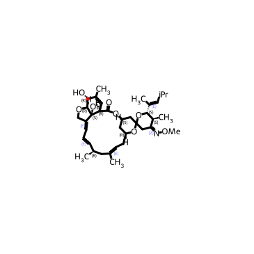 CO/N=C1/CC2(C[C@@H]3C[C@@H](C/C=C(\C)C[C@@H](C)/C=C/C=C4\CO[C@@H]5[C@H](O)C(C)=C[C@@H](C(=O)O3)[C@]45O)O2)O[C@H](/C(C)=C/C(C)C)[C@H]1C